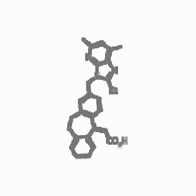 CCc1nc2c(C)cc(C)nc2n1Cc1ccc2c(c1)CCc1ccccc1C2=CC(=O)O